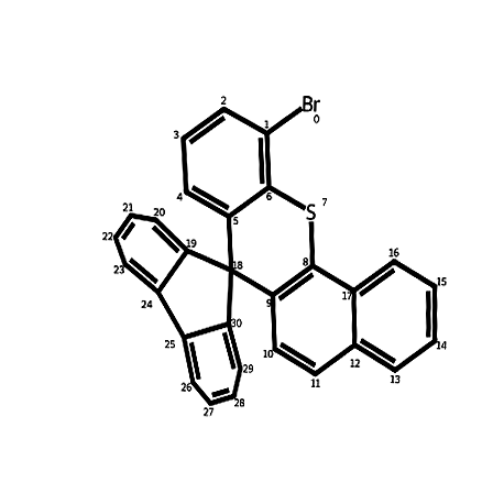 Brc1cccc2c1Sc1c(ccc3ccccc13)C21c2ccccc2-c2ccccc21